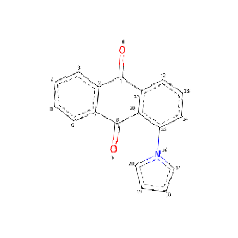 O=C1c2ccccc2C(=O)c2c1cccc2-n1cccc1